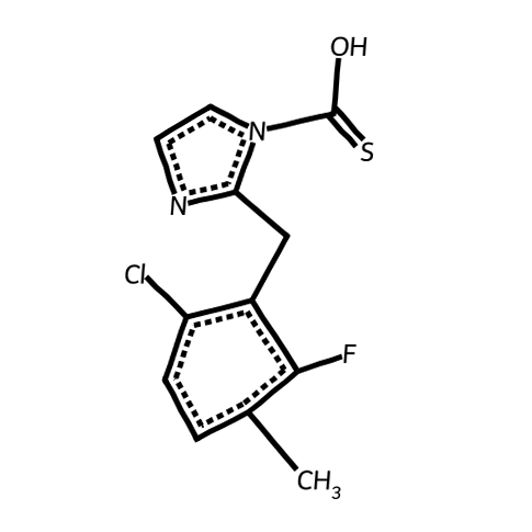 Cc1ccc(Cl)c(Cc2nccn2C(O)=S)c1F